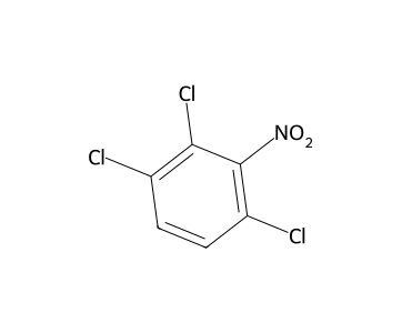 O=[N+]([O-])c1c(Cl)ccc(Cl)c1Cl